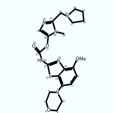 COc1ccc(N2CCOCC2)c2sc(NC(=O)Oc3cnc(CN4CCCC4)n3C)nc12